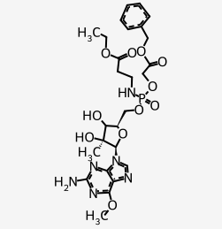 CCOC(=O)CCNP(=O)(OCC(=O)OCc1ccccc1)OC[C@H]1O[C@@H](n2cnc3c(OC)nc(N)nc32)[C@@](C)(O)C1O